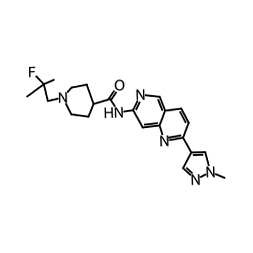 Cn1cc(-c2ccc3cnc(NC(=O)C4CCN(CC(C)(C)F)CC4)cc3n2)cn1